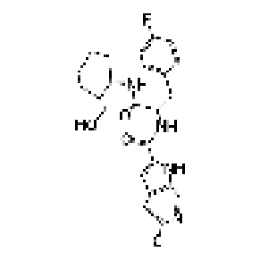 O=C(N[C@@H](Cc1ccc(F)cc1)C(=O)N[C@H]1CCCC[C@H]1CO)c1cc2cc(Cl)ncc2[nH]1